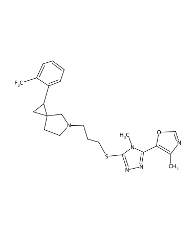 Cc1ncoc1-c1nnc(SCCCN2CCC3(CC3c3ccccc3C(F)(F)F)C2)n1C